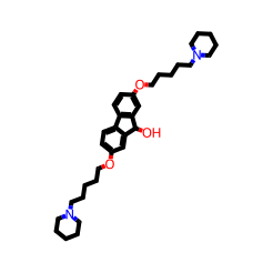 OC1c2cc(OCCCCCN3CCCCC3)ccc2-c2ccc(OCCCCCN3CCCCC3)cc21